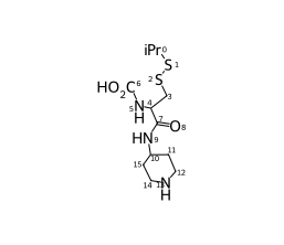 CC(C)SSCC(NC(=O)O)C(=O)NC1CCNCC1